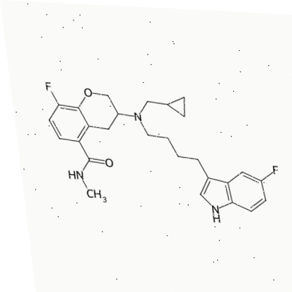 CNC(=O)c1ccc(F)c2c1CC(N(CCCCc1c[nH]c3ccc(F)cc13)CC1CC1)CO2